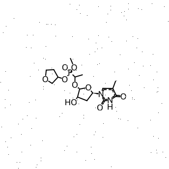 COP(=O)(OC1CCOC1)C(C)O[C@H]1O[C@@H](n2cc(C)c(=O)[nH]c2=O)C[C@H]1O